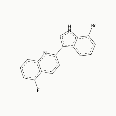 Fc1cccc2nc(-c3c[nH]c4c(Br)cccc34)ccc12